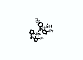 CC(C)C1=[C]([Hf+]([C]2=C(C(C)C)C=CC2)[SiH](C)C)CC=C1.CC(C)C1=[C]([Hf+]([C]2=C(C(C)C)C=CC2)[SiH](C)C)CC=C1.[Cl-].[Cl-]